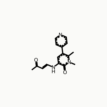 CC(=O)/C=C/Nc1cc(-c2ccncc2)c(C)n(C)c1=O